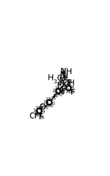 CN(/C=N\N=N)CC(O)(c1ccc(F)cc1F)C(F)(F)c1ccc(C#Cc2ccc(COc3ccc(Cl)c(F)c3)cc2)cn1